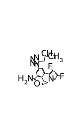 CC(C)Cc1nnnn1-c1cc(C(N)=O)c(C2CC2)c(-c2ncc(F)cc2F)c1